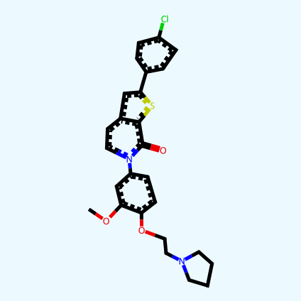 COc1cc(-n2ccc3cc(-c4ccc(Cl)cc4)sc3c2=O)ccc1OCCN1CCCC1